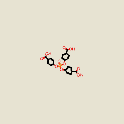 O=C(O)c1ccc(OP(=O)(Oc2ccc(C(=O)O)cc2)Oc2ccc(C(=O)O)cc2)cc1